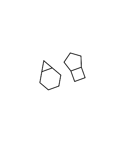 C1CC2CCC2C1.C1CCC2CC2C1